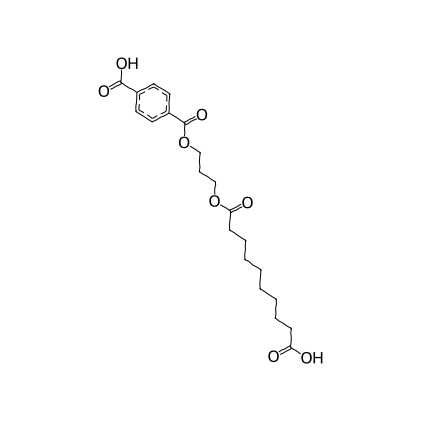 O=C(O)CCCCCCCCC(=O)OCCCOC(=O)c1ccc(C(=O)O)cc1